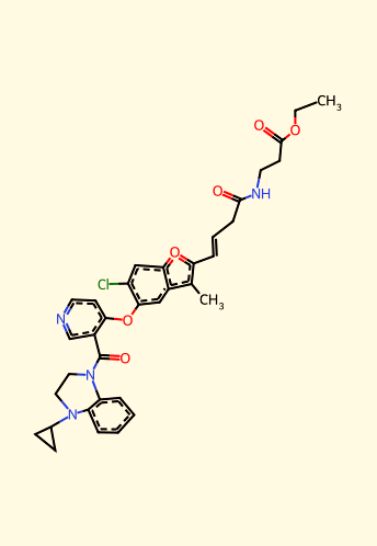 CCOC(=O)CCNC(=O)C/C=C/c1oc2cc(Cl)c(Oc3ccncc3C(=O)N3CCN(C4CC4)c4ccccc43)cc2c1C